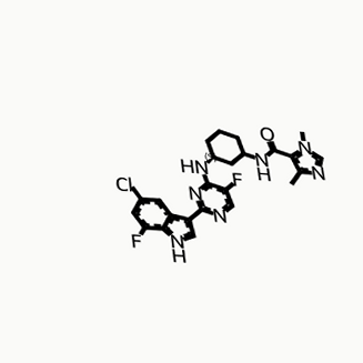 Cc1ncn(C)c1C(=O)NC1CCC[C@H](Nc2nc(-c3c[nH]c4c(F)cc(Cl)cc34)ncc2F)C1